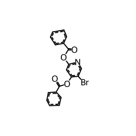 O=C(Oc1cc(OC(=O)c2ccccc2)c(Br)cn1)c1ccccc1